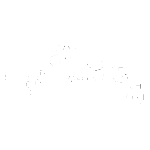 COc1cc2c(cc1OCCCOc1c(OC)cc3c(c1C)C(C)N(C(=O)CC(C)C(=O)O)C3)CN(C(=O)C[C@H](C)C(=O)O)C2